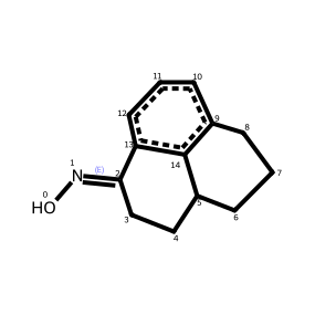 O/N=C1\CCC2CCCc3cccc1c32